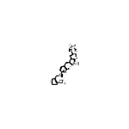 CS(=O)(=O)Nc1cnc2[nH]cc(Cc3ccc(NCc4cnccc4C(F)(F)F)nc3F)c2c1